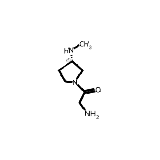 CN[C@H]1CCN(C(=O)CN)C1